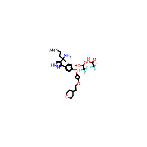 CNCCC(C)(N)c1c[nH]nc1-c1ccc(OC2CC(OCCC3CCOCC3)C2)cc1.O=C(O)C(F)(F)F.O=C(O)C(F)(F)F